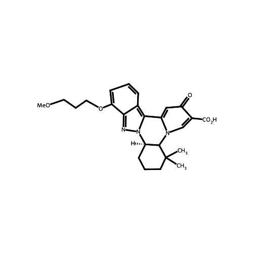 COCCCOc1cccc2c3n(nc12)[C@@H]1CCCC(C)(C)C1n1cc(C(=O)O)c(=O)cc1-3